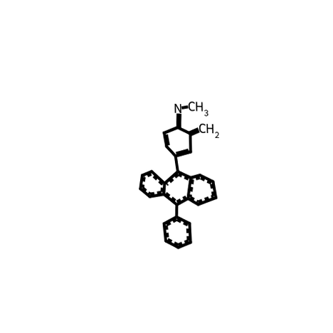 C=C1C=C(c2c3ccccc3c(-c3ccccc3)c3ccccc23)C=C/C1=N/C